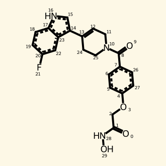 O=C(COc1ccc(C(=O)N2CC=C(c3c[nH]c4ccc(F)cc34)CC2)cc1)NO